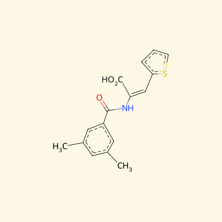 Cc1cc(C)cc(C(=O)N/C(=C/c2cccs2)C(=O)O)c1